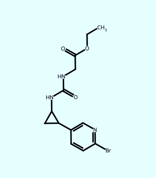 CCOC(=O)CNC(=O)NC1CC1c1ccc(Br)nc1